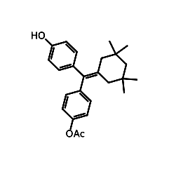 CC(=O)Oc1ccc(C(=C2CC(C)(C)CC(C)(C)C2)c2ccc(O)cc2)cc1